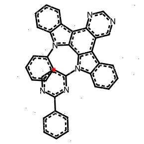 c1ccc(-c2nccc(-n3c4ccccc4c4c5cncnc5c5c6ccccc6n(-c6ccccc6)c5c43)n2)cc1